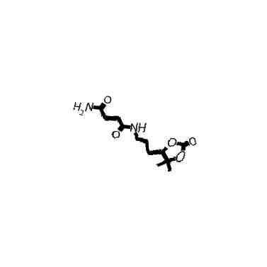 CC1(C)OC(=O)OC1=CCCNC(=O)/C=C/C(N)=O